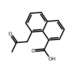 CC(=O)Cc1cccc2cccc(C(=O)O)c12